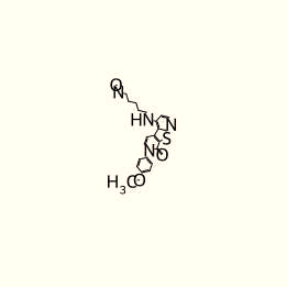 COc1ccc(-n2ccc3c(sc4nccc(NCCCCCN=O)c43)c2=O)cc1